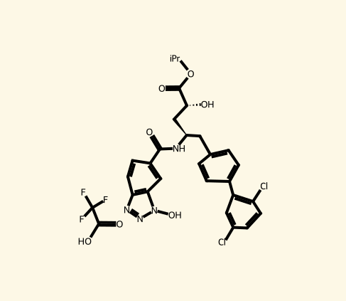 CC(C)OC(=O)[C@H](O)C[C@@H](Cc1ccc(-c2cc(Cl)ccc2Cl)cc1)NC(=O)c1ccc2nnn(O)c2c1.O=C(O)C(F)(F)F